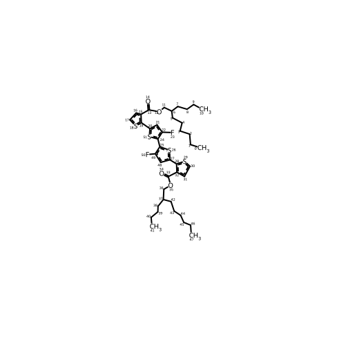 CCCCCCC(CCCC)COC(=O)c1ccsc1-c1cc(F)c(-c2sc(-c3sccc3C(=O)OCC(CCCC)CCCCCC)cc2F)s1